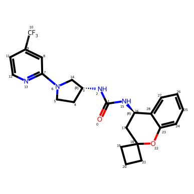 O=C(N[C@@H]1CCN(c2cc(C(F)(F)F)ccn2)C1)N[C@@H]1CC2(CCC2)Oc2ccccc21